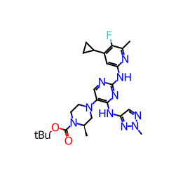 Cc1nc(Nc2ncc(N3CCN(C(=O)OC(C)(C)C)[C@H](C)C3)c(Nc3cnn(C)n3)n2)cc(C2CC2)c1F